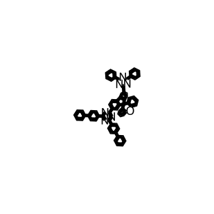 c1ccc(-c2ccc(-c3nc(-c4ccc(-c5ccccc5)cc4)nc(-c4ccc5c(c4)C4(c6ccccc6Oc6ccccc64)c4ccc(-c6nc(-c7ccccc7)nc(-c7ccccc7)n6)cc4-5)n3)cc2)cc1